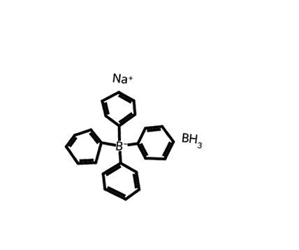 B.[Na+].c1ccc([B-](c2ccccc2)(c2ccccc2)c2ccccc2)cc1